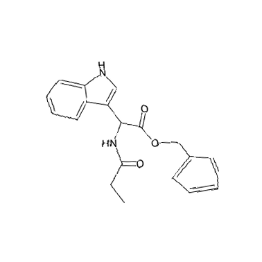 CCC(=O)NC(C(=O)OCc1ccccc1)c1c[nH]c2ccccc12